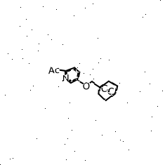 CC(=O)c1ccc(OCC23CCC(CC2)CC3)cn1